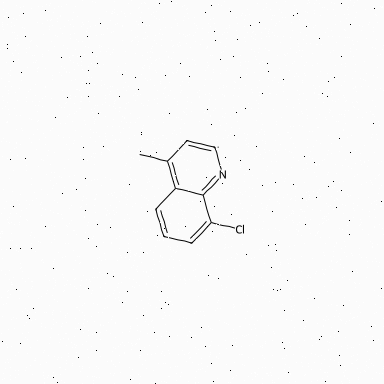 Cc1c[c]nc2c(Cl)cccc12